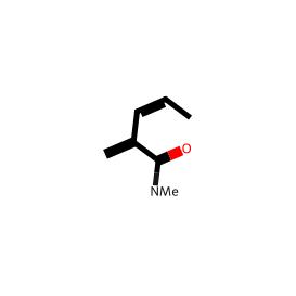 C=C(/C=C\C)C(=O)NC